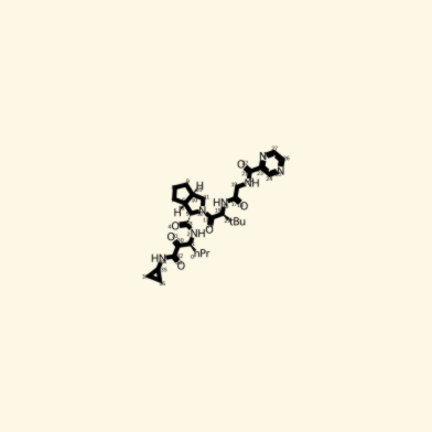 CCC[C@H](NC(=O)[C@@H]1[C@H]2CCC[C@H]2CN1C(=O)[C@@H](NC(=O)CNC(=O)c1cnccn1)C(C)(C)C)C(=O)C(=O)NC1CC1